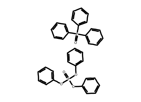 O=P(Oc1ccccc1)(Oc1ccccc1)Oc1ccccc1.O=P(c1ccccc1)(c1ccccc1)c1ccccc1